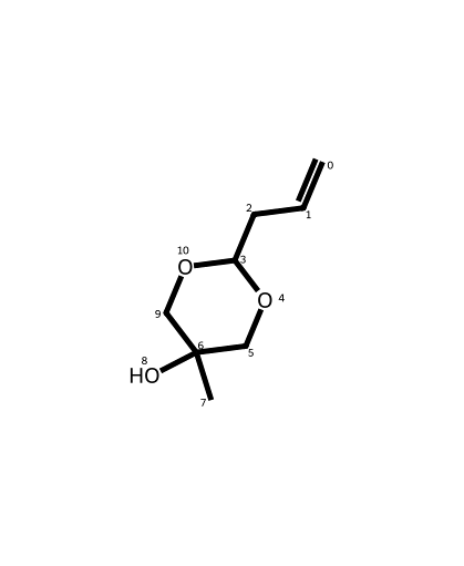 C=CCC1OCC(C)(O)CO1